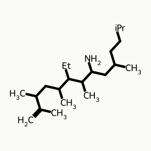 C=C(C)C(C)CC(C)C(CC)C(C)C(N)CC(C)CCC(C)C